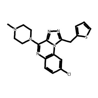 CN1CCN(c2nc3ccc(Cl)cc3n3c(Cc4cccs4)nnc23)CC1